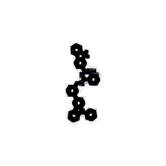 CC1(C)c2ccccc2-c2ccc(/C(N)=N/C(=N\Cc3cccc(-c4ccc5c(c4)c4ccccc4n5-c4ccccc4)c3)c3ccccc3)cc21